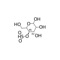 O=[SH](=O)O[C@H]1C(CO)OC(O)C(O)[C@@H]1O